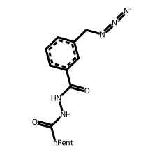 CCCCCC(=O)NNC(=O)c1cccc(CN=[N+]=[N-])c1